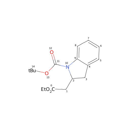 CCOC(=O)CC1Cc2ccccc2N1C(=O)OC(C)(C)C